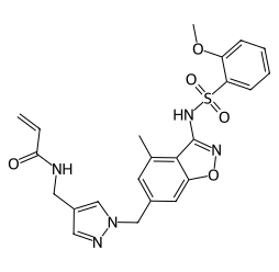 C=CC(=O)NCc1cnn(Cc2cc(C)c3c(NS(=O)(=O)c4ccccc4OC)noc3c2)c1